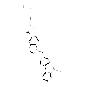 CCOCCNC(=O)c1ccc2c(c1)ncn2Cc1ccc(-c2ccccc2C(=O)O)cc1